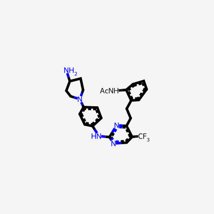 CC(=O)Nc1ccccc1CCc1nc(Nc2ccc(N3CCC(N)CC3)cc2)ncc1C(F)(F)F